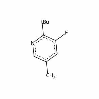 Cc1cnc(C(C)(C)C)c(F)c1